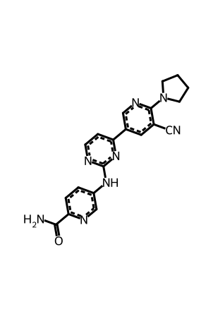 N#Cc1cc(-c2ccnc(Nc3ccc(C(N)=O)nc3)n2)cnc1N1CCCC1